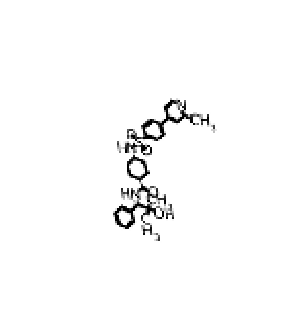 Cc1cc(-c2ccc(S(=O)(=O)N[C@H]3CC[C@H](C(=O)N[C@@H](c4ccccc4)C(C)(C)O)CC3)cc2)ccn1